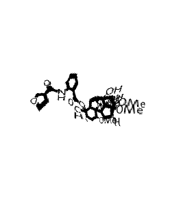 CNN1C2CC3C(C)(OC(=O)c4ccccc4NC(=O)C4CCOC4)CC[C@H](OC)C31C1C[C@@H]3[C@@H](OC)C[C@@]2(O)[C@@]1(O)[C@H]3OC